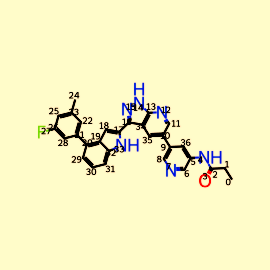 CCC(=O)Nc1cncc(-c2cnc3[nH]nc(-c4cc5c(-c6cc(C)cc(F)c6)cccc5[nH]4)c3c2)c1